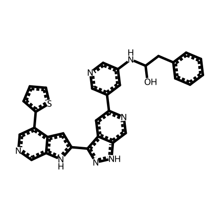 OC(Cc1ccccc1)Nc1cncc(-c2cc3c(-c4cc5c(-c6cccs6)cncc5[nH]4)n[nH]c3cn2)c1